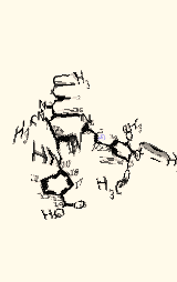 CCCc1nn(C)c2c(Nc3ccc(C(=O)O)cc3)nc(/C=C/c3cc(OC)c(OC)c(OC)c3)nc12